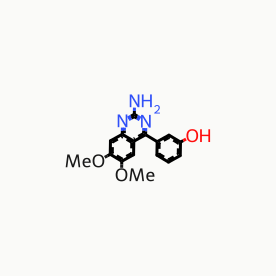 COc1cc2nc(N)nc(-c3cccc(O)c3)c2cc1OC